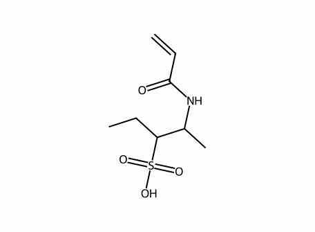 C=CC(=O)NC(C)C(CC)S(=O)(=O)O